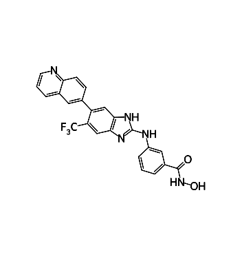 O=C(NO)c1cccc(Nc2nc3cc(C(F)(F)F)c(-c4ccc5ncccc5c4)cc3[nH]2)c1